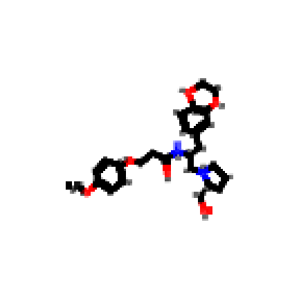 COc1ccc(OCCC(=O)N[C@@H](Cc2ccc3c(c2)OCCO3)CN2CCC[C@@H]2CO)cc1